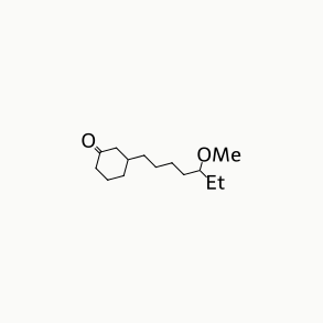 CCC(CCCCC1CCCC(=O)C1)OC